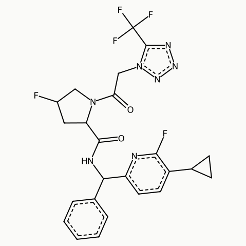 O=C(NC(c1ccccc1)c1ccc(C2CC2)c(F)n1)C1CC(F)CN1C(=O)Cn1nnnc1C(F)(F)F